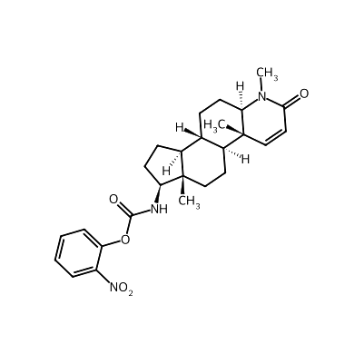 CN1C(=O)C=C[C@]2(C)[C@H]3CC[C@]4(C)[C@@H](NC(=O)Oc5ccccc5[N+](=O)[O-])CC[C@H]4[C@@H]3CC[C@@H]12